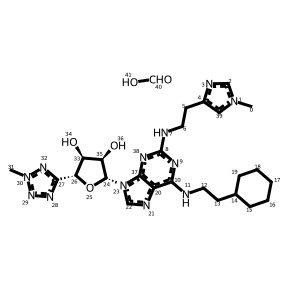 Cn1cnc(CCNc2nc(NCCC3CCCCC3)c3ncn([C@@H]4O[C@H](c5nnn(C)n5)[C@@H](O)[C@H]4O)c3n2)c1.O=CO